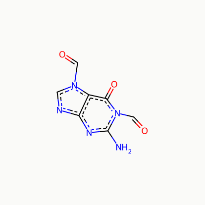 Nc1nc2ncn(C=O)c2c(=O)n1C=O